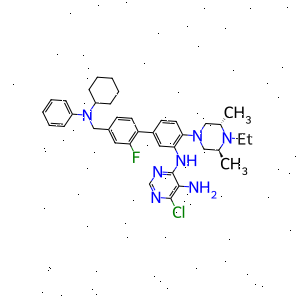 CCN1[C@@H](C)CN(c2ccc(-c3ccc(CN(c4ccccc4)C4CCCCC4)cc3F)cc2Nc2ncnc(Cl)c2N)C[C@@H]1C